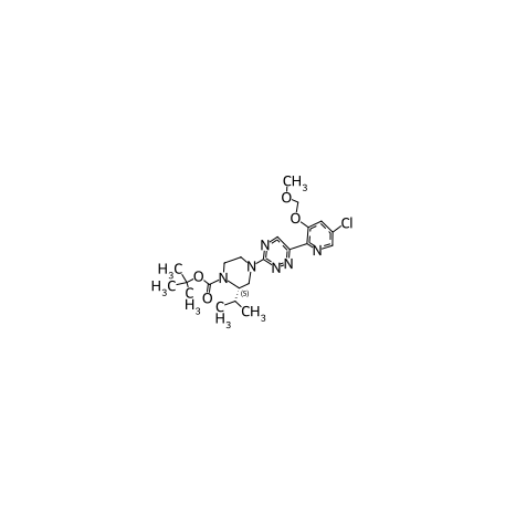 COCOc1cc(Cl)cnc1-c1cnc(N2CCN(C(=O)OC(C)(C)C)[C@@H](C(C)C)C2)nn1